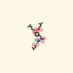 COC(=O)[C@H](Cc1ccc(OC(=O)CCC(C)C)c(OC(=O)CCC(C)C)c1)NCCOC(=O)CC(C)C